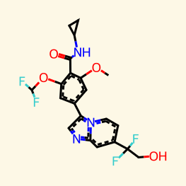 COc1cc(-c2cnc3cc(C(F)(F)CO)ccn23)cc(OC(F)F)c1C(=O)NC1CC1